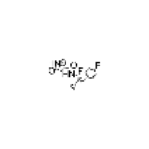 O=C(NC[C@H](Cc1ccc(F)cc1F)C1CC1)c1cc(=O)[nH]o1